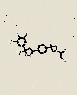 O=C(CC(F)(F)F)N1CC(F)(c2ccc(C3=NOC(c4cc(F)c(F)c(C(F)(F)F)c4)(C(F)(F)F)C3)cc2)C1